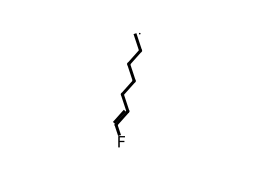 [CH2]CCCC/C=C/F